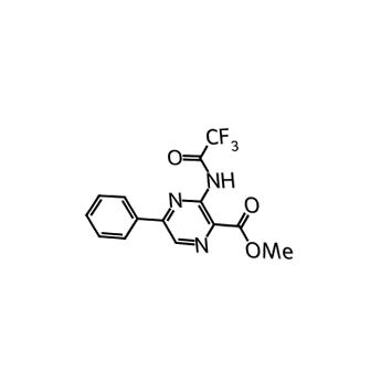 COC(=O)c1ncc(-c2ccccc2)nc1NC(=O)C(F)(F)F